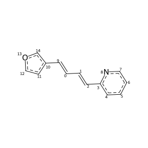 C(C=Cc1ccccn1)=Cc1ccoc1